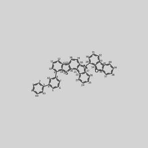 c1ccc(-c2cccc(-c3cccc4c3sc3c4ccc4c3c3ccccc3n4-c3cccc4c3oc3ccccc34)c2)cc1